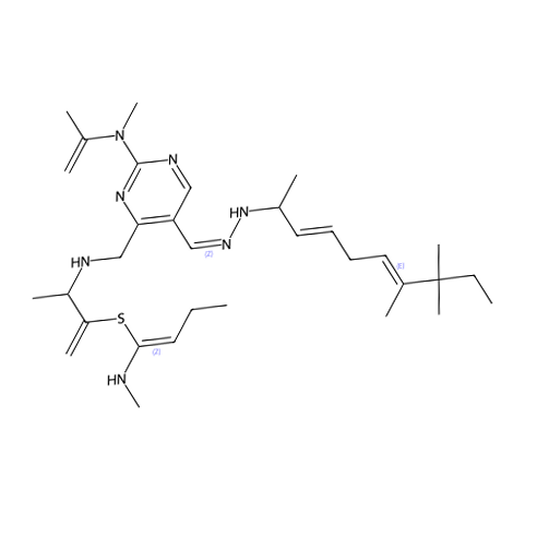 C=C(S/C(=C\CC)NC)C(C)NCc1nc(N(C)C(=C)C)ncc1/C=N\NC(C)C=CC/C=C(\C)C(C)(C)CC